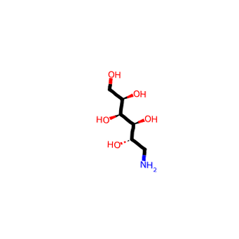 NC[C@H](O)[C@H](O)[C@@H](O)[C@H](O)CO